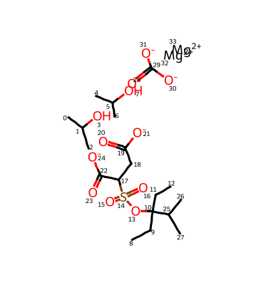 CC(C)O.CC(C)O.CCC(CC)(OS(=O)(=O)C(CC(=O)[O-])C(=O)[O-])C(C)C.O=C([O-])[O-].[Mg+2].[Mg+2]